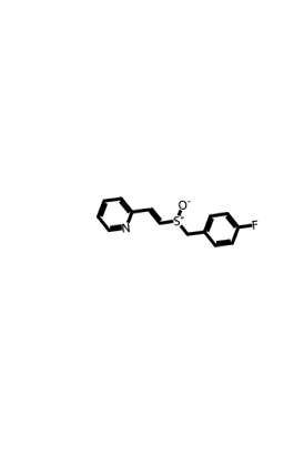 [O-][S+](C=Cc1ccccn1)Cc1ccc(F)cc1